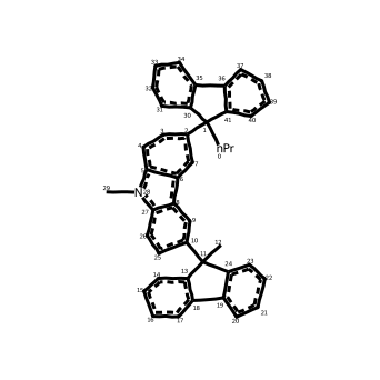 CCCC1(c2ccc3c(c2)c2cc(C4(C)c5ccccc5-c5ccccc54)ccc2n3C)c2ccccc2-c2ccccc21